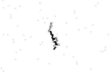 CCOC(=O)c1nnc(CCCCN=[N+]=[N-])s1